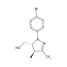 C[C@@H]1C(C(F)(F)F)=NN(c2ccc(Br)cc2)[C@H]1CO